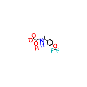 COC(=O)[C@H](O)CN[C@@H](C)c1ccc(OC(F)F)cc1